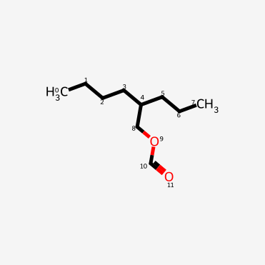 CCCCC(CCC)COC=O